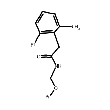 CCc1cccc(C)c1CC(=O)NCOC(C)C